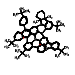 CC(C)(C)c1ccc(N(c2ccc(C(C)(C)C)cc2)c2cc3c4c(c2)N2c5c(cc(C(C)(C)C)cc5C5(C)CCCCC25C)B4c2cc4c(cc2N3c2c(-c3ccccc3)cc(C(C)(C)C)cc2-c2ccccc2)oc2cc(C(C)(C)C)ccc24)cc1